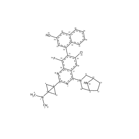 CN(C)C12CC1(c1nc(N3CC4CCC(C3)N4)c3cc(Cl)c(-c4cc(O)cc5ccccc45)c(F)c3n1)C2